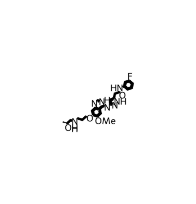 COc1cc2c(Nc3cc(CC(=O)Nc4cccc(F)c4)[nH]n3)ncnc2cc1OCCCNC[C@H](C)O